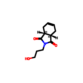 O=C1[C@H]2CC=CC[C@H]2C(=O)N1CCCO